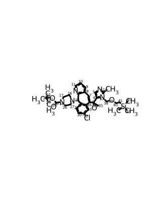 Cc1ncc(C2(C3=Cc4cccnc4[C@@H](N4CCN(C(=O)OC(C)(C)C)CC4)c4ccc(Cl)cc43)CO2)n1COCC[Si](C)(C)C